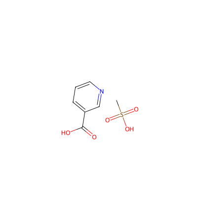 CS(=O)(=O)O.O=C(O)c1cccnc1